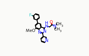 COc1cc(-c2cccc(F)c2)cc2c(NCC(=O)N(C)C)nc(-c3cccnc3)nc12